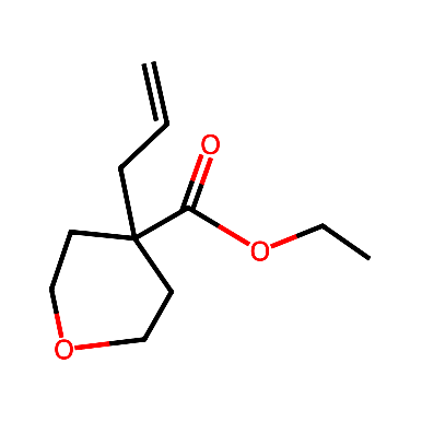 C=CCC1(C(=O)OCC)CCOCC1